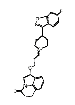 O=C1CCc2cccc3c2N1CC3OCCCN1CCC(c2noc3cc(F)ccc23)CC1